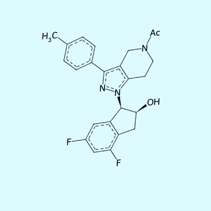 CC(=O)N1CCc2c(c(-c3ccc(C)cc3)nn2[C@@H]2c3cc(F)cc(F)c3C[C@@H]2O)C1